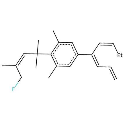 C=C/C=C(\C=C/CC)c1cc(C)c(C(C)(C)/C=C(/C)CF)c(C)c1